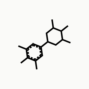 Cc1[c]c(C2CC(C)C(C)C(C)C2)cc(C)c1C